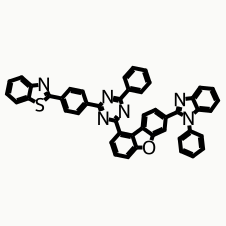 c1ccc(-c2nc(-c3ccc(-c4nc5ccccc5s4)cc3)nc(-c3cccc4oc5cc(-c6nc7ccccc7n6-c6ccccc6)ccc5c34)n2)cc1